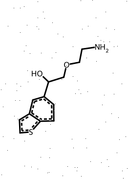 NCCOCC(O)c1ccc2sccc2c1